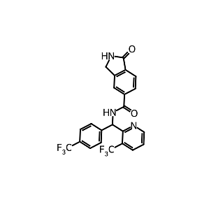 O=C(NC(c1ccc(C(F)(F)F)cc1)c1ncccc1C(F)(F)F)c1ccc2c(c1)CNC2=O